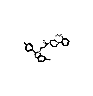 COc1ccccc1N1CCN(C(=O)CCn2c(-c3ccc(C)cc3)nc3ccc(C)cc32)CC1